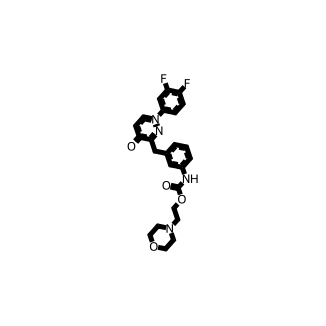 O=C(Nc1cccc(Cc2nn(-c3ccc(F)c(F)c3)ccc2=O)c1)OCCN1CCOCC1